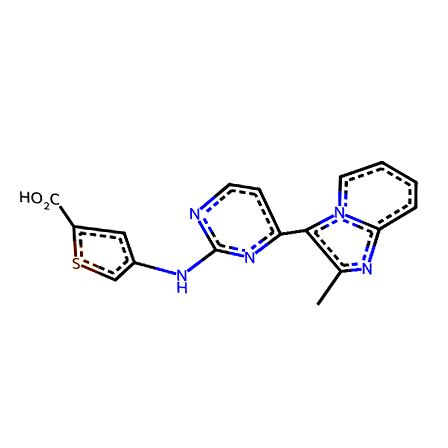 Cc1nc2ccccn2c1-c1ccnc(Nc2csc(C(=O)O)c2)n1